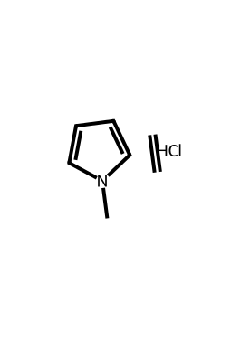 C=C.Cl.Cn1cccc1